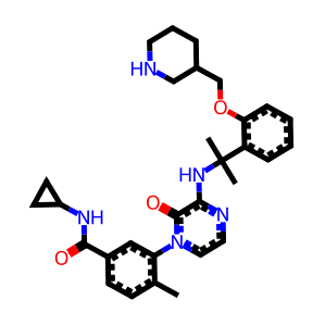 Cc1ccc(C(=O)NC2CC2)cc1-n1ccnc(NC(C)(C)c2ccccc2OCC2CCCNC2)c1=O